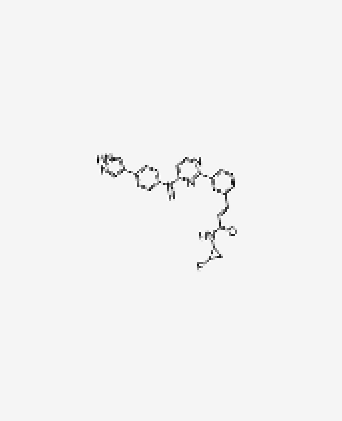 O=C(/C=C/c1cccc(-c2nccc(Nc3ccc(-c4cn[nH]c4)cc3)n2)c1)NC1CC1F